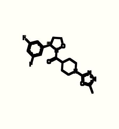 Cc1nnc(N2CCC(C(=O)N3OCC[C@@H]3c3cc(F)cc(F)c3)CC2)o1